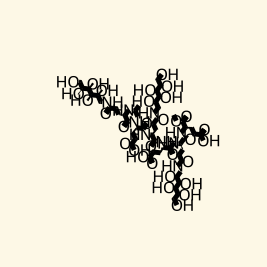 COC(=O)[C@@H](CCC(=O)O)NC(=O)[C@H](CCC(=O)NC[C@H](O)[C@@H](O)[C@H](O)[C@H](O)CO)NC(=O)[C@@H](CCC(=O)O)NC(=O)[C@H](CCC(=O)NC[C@H](O)[C@@H](O)[C@H](O)[C@H](O)CO)NC(=O)[C@@H](CCC(=O)O)NC(=O)[C@H](CCC(=O)NC[C@H](O)[C@@H](O)[C@H](O)[C@H](O)CO)NC(C)C